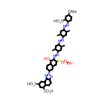 COc1ccc(N=Nc2cc(C)c(N=Nc3cc(C)c(N=Nc4c(SOOO)cc5cc(-n6nc7ccc8c(S(=O)(=O)O)cc(S(=O)(=O)O)cc8c7n6)ccc5c4O)cc3C)cc2C)c(S(=O)(=O)O)c1